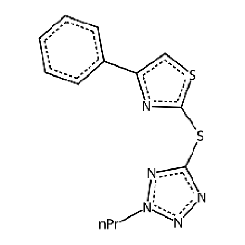 CCCn1nnc(Sc2nc(-c3ccccc3)cs2)n1